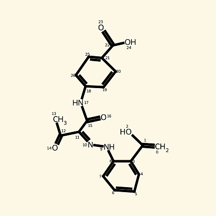 C=C(O)c1ccccc1N/N=C(/C(C)=O)C(=O)Nc1ccc(C(=O)O)cc1